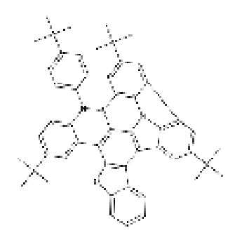 CC(C)(C)c1ccc(N2B3c4cc(C(C)(C)C)cc5c6cc(C(C)(C)C)cc7c8c9c(oc%10ccccc%109)c(c3c8n(c45)c67)-c3cc(C(C)(C)C)ccc32)cc1